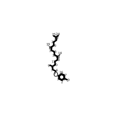 [CH2]c1ccc(OCCC(C)CCC[C@H](C)CCC[C@H](C)CCCC(C)C)cc1